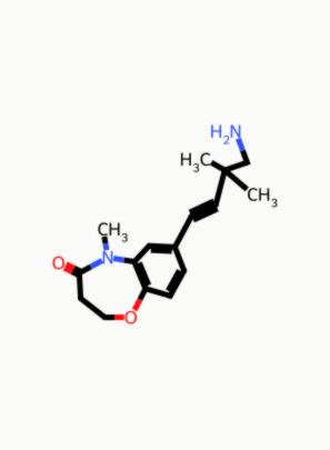 CN1C(=O)CCOc2ccc(C#CC(C)(C)CN)cc21